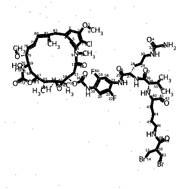 COc1cc2cc(c1Cl)N(C)C(=O)C[C@H](OC(=O)Nc1cc(F)c(NC(=O)[C@H](CCCNC(N)=O)NC(=O)[C@@H](NC(C=O)CCCCNC(=O)C(CBr)CBr)C(C)C)cc1F)[C@]1(C)O[C@H]1[C@H](C)[C@@H]1C[C@@](O)(NC(=O)O1)[C@H](OC)/C=C/C=C(\C)C2